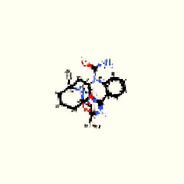 CCCCc1nc(-c2ccccc2N(C(N)=O)[C@H]2C[C@H]3CCC[C@@H](C2)N3C)no1